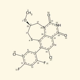 CO[C@@H]1CSc2c(-c3cc(Cl)c(F)cc3F)c(Cl)cc3c(=O)[nH]c(=O)n(c23)C1